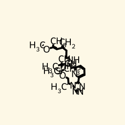 C=C(/C=C(\C)OC)CCNNc1cccc(-c2nnnn2[C@H](C)CO[Si](C)(C)C(C)(C)C)n1